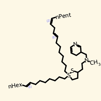 CCCCC/C=C\C/C=C/CCCCCCCS1(CCCCCCC/C=C/CCCCCC)CCC(CCN(C)CC2C=NC=CC2)S1